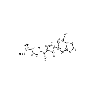 CC[C@@H](C#N)C1CCN(C(=O)c2cnn(-c3nc4c(c(=O)[nH]3)CCC4)c2C)CC1